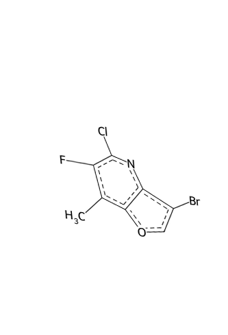 Cc1c(F)c(Cl)nc2c(Br)coc12